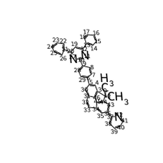 CC1(C)c2cc(-c3ccc(-c4nc(-c5ccccc5)cc(-c5ccccc5)n4)cc3)cc3ccc4cc(-c5ccccn5)cc1c4c23